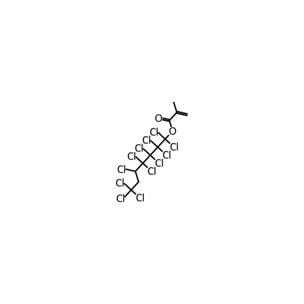 C=C(C)C(=O)OC(Cl)(Cl)C(Cl)(Cl)C(Cl)(Cl)C(Cl)(Cl)C(Cl)CC(Cl)(Cl)Cl